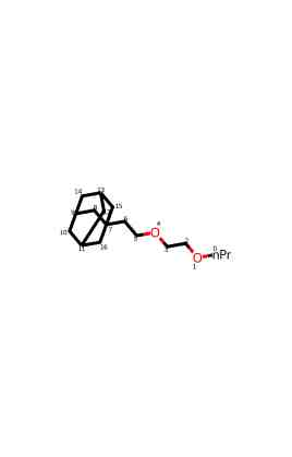 CCCOCCOCCC12CC3CC(CC(C3)C1)C2